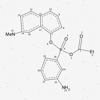 CCC(=O)OP(=O)(Oc1cccc2ccc(NC)cc12)c1cccc(N)c1